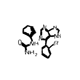 CCc1ccccc1-c1ncnc2nc[nH]c12.NC(=O)Nc1ccccc1